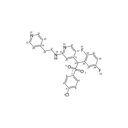 O=S(=O)(c1ccc(Cl)cc1)C(c1ccnc(NCCc2ccncc2)c1)c1cc(F)ccc1F